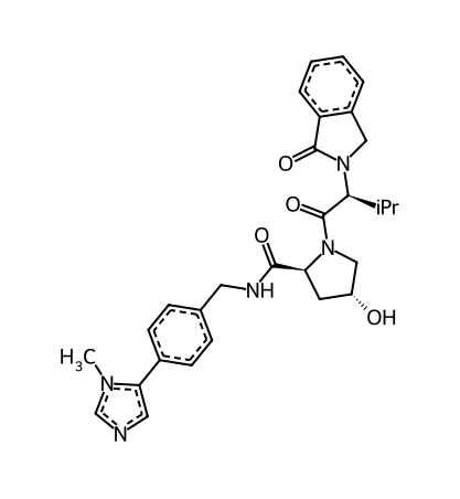 CC(C)[C@@H](C(=O)N1C[C@H](O)C[C@H]1C(=O)NCc1ccc(-c2cncn2C)cc1)N1Cc2ccccc2C1=O